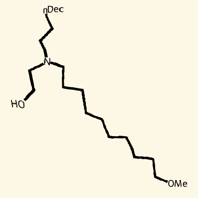 CCCCCCCCCCCCN(CCO)CCCCCCCCCCOC